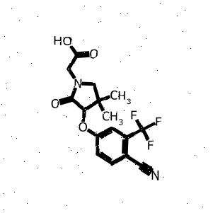 CC1(C)CN(CC(=O)O)C(=O)C1Oc1ccc(C#N)c(C(F)(F)F)c1